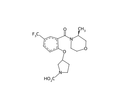 C[C@H]1COCCN1C(=O)c1cc(C(F)(F)F)ccc1OC1CCN(C(=O)O)C1